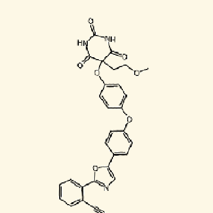 COCCC1(Oc2ccc(Oc3ccc(-c4cnc(-c5ccccc5C#N)o4)cc3)cc2)C(=O)NC(=O)NC1=O